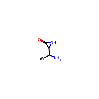 CCCC(N)C1NC1=O